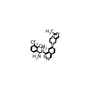 Cc1c([C@@H](N)Nc2nncc3ccc(N4CCn5c(cnc5C)C4)cc23)cccc1C(F)(F)F